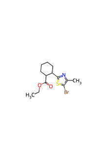 CCOC(=O)C1CCCCC1c1nc(C)c(Br)s1